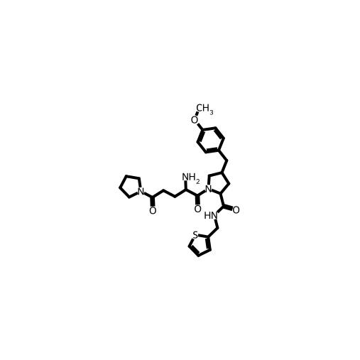 COc1ccc(CC2CC(C(=O)NCc3cccs3)N(C(=O)C(N)CCC(=O)N3CCCC3)C2)cc1